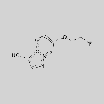 N#Cc1cnn2cc(OCCF)ccc12